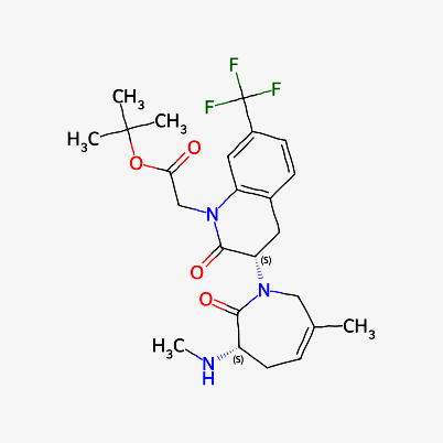 CN[C@H]1CC=C(C)CN([C@H]2Cc3ccc(C(F)(F)F)cc3N(CC(=O)OC(C)(C)C)C2=O)C1=O